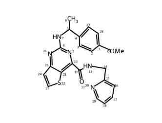 COc1ccc(C(C)Nc2nc(C(=O)NCc3ccccn3)c3sccc3n2)cc1